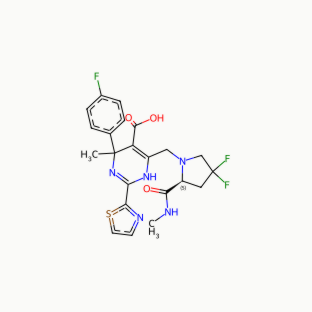 CNC(=O)[C@@H]1CC(F)(F)CN1CC1=C(C(=O)O)C(C)(c2ccc(F)cc2)N=C(c2nccs2)N1